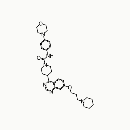 O=C(Nc1ccc(N2CCOCC2)cc1)N1CCC(c2ncnc3cc(OCCCN4CCCCC4)ccc23)CC1